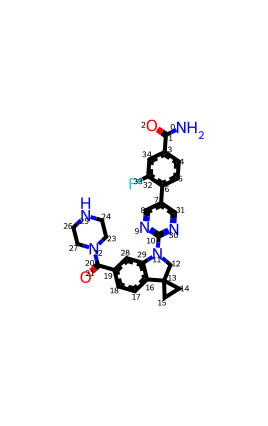 NC(=O)c1ccc(-c2cnc(N3CC4(CC4)c4ccc(C(=O)N5CCNCC5)cc43)nc2)c(F)c1